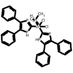 [CH3][Sn]([CH3])=[Zr]([Cl])([Cl])([c]1pc(-c2ccccc2)c(-c2ccccc2)[pH]1)[c]1pc(-c2ccccc2)c(-c2ccccc2)[pH]1